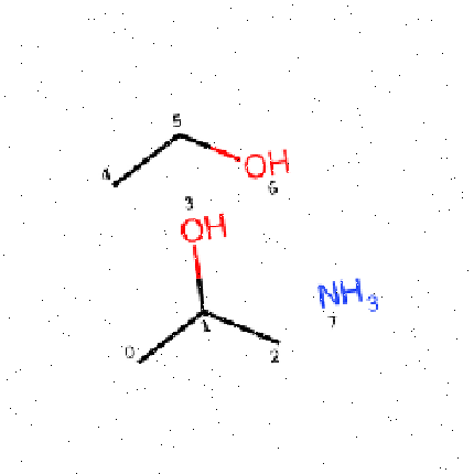 CC(C)O.CCO.N